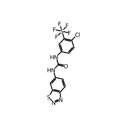 O=C(Nc1ccc(Cl)c(S(F)(F)(F)(F)F)c1)Nc1ccc2nnsc2c1